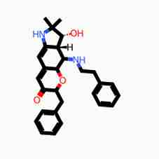 CC1(C)NC2=CC3=CC(=O)C(Cc4ccccc4)OC3C(NCCc3ccccc3)[C@H]2[C@H]1O